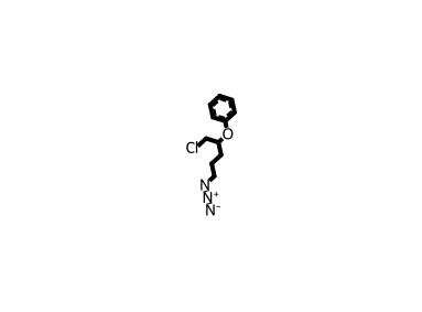 [N-]=[N+]=NCCCC(CCl)Oc1ccccc1